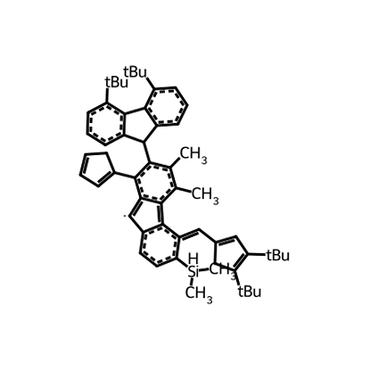 Cc1c(C2c3cccc(C(C)(C)C)c3-c3c2cccc3C(C)(C)C)c(C2=CC=CC2)c2c(c1C)=c1c(ccc([SiH](C)C)c1=CC1=CC(C(C)(C)C)=C(C(C)(C)C)C1)[C]=2